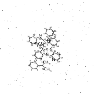 CC(C)c1ccccc1-c1ccc2c(c1)N1c3nccnc3N(c3ccccc3)C1C21C2(C)c3ccccc3NC(Nc3ccccc3)C21C